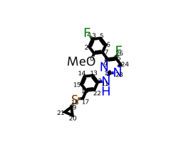 COc1cc(F)ccc1-c1nc(Nc2cccc(CSC3CC3)c2)ncc1F